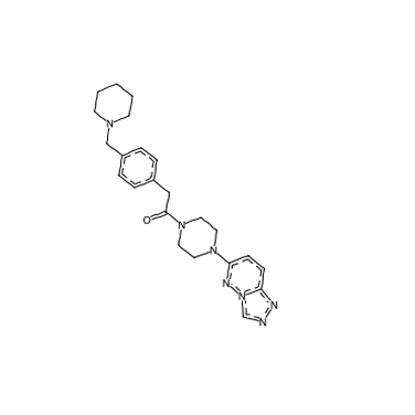 O=C(Cc1ccc(CN2CCCCC2)cc1)N1CCN(c2ccc3nncn3n2)CC1